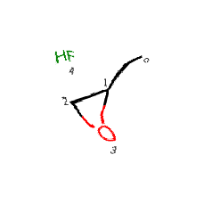 CC1CO1.F